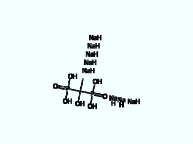 CC(O)(P(=O)(O)O)P(=O)(O)O.[NaH].[NaH].[NaH].[NaH].[NaH].[NaH].[NaH].[NaH]